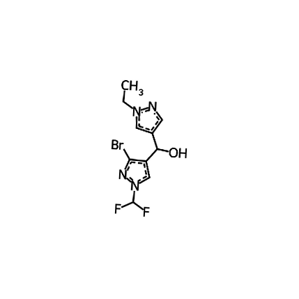 CCn1cc(C(O)c2cn(C(F)F)nc2Br)cn1